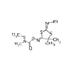 CCN=C1SC(=NOC(=O)N(C)SC(Cl)(Cl)Cl)C(C)(C)S1